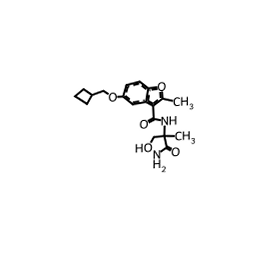 Cc1oc2ccc(OCC3CCC3)cc2c1C(=O)NC(C)(CO)C(N)=O